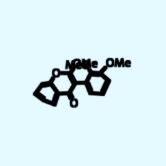 COc1cccc(-c2c(OC)oc3ccccc3c2=O)c1OC